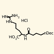 CCCCCCCCCCCCCC(=O)NC(CCCNC(=N)N)C(=O)O.Cl